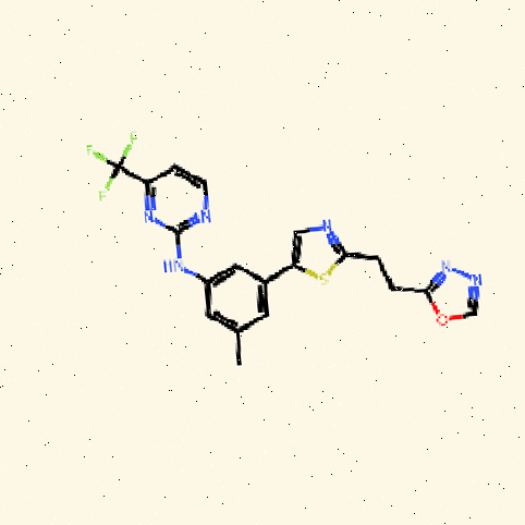 Cc1cc(Nc2nccc(C(F)(F)F)n2)cc(-c2cnc(CCc3nnco3)s2)c1